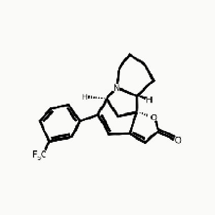 O=C1C=C2C=C(c3cccc(C(F)(F)F)c3)[C@@H]3C[C@@]2(O1)[C@H]1CCCCN31